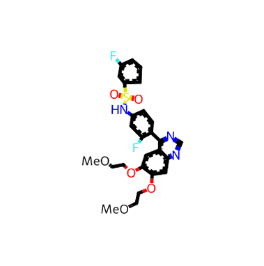 COCCOc1cc2ncnc(-c3ccc(NS(=O)(=O)c4cccc(F)c4)cc3F)c2cc1OCCOC